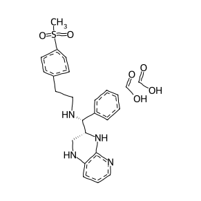 CS(=O)(=O)c1ccc(CCN[C@H](c2ccccc2)[C@H]2CNc3cccnc3N2)cc1.O=CO.O=CO